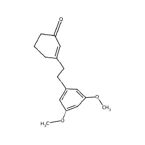 COc1cc(CCC2=CC(=O)CCC2)cc(OC)c1